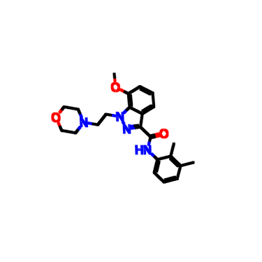 COc1cccc2c(C(=O)Nc3cccc(C)c3C)nn(CCN3CCOCC3)c12